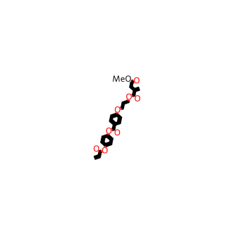 C=CC(=O)Oc1ccc(OC(=O)c2ccc(OCCCOC(=O)C(=C)CC(=O)OC)cc2)cc1